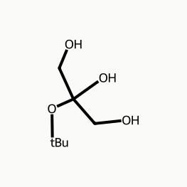 CC(C)(C)OC(O)(CO)CO